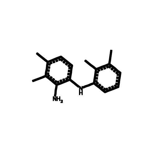 Cc1cccc(Nc2ccc(C)c(C)c2N)c1C